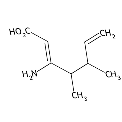 C=CC(C)C(C)C(N)=CC(=O)O